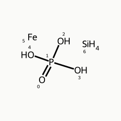 O=P(O)(O)O.[Fe].[SiH4]